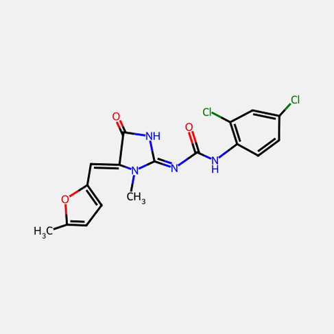 Cc1ccc(/C=C2/C(=O)N/C(=N\C(=O)Nc3ccc(Cl)cc3Cl)N2C)o1